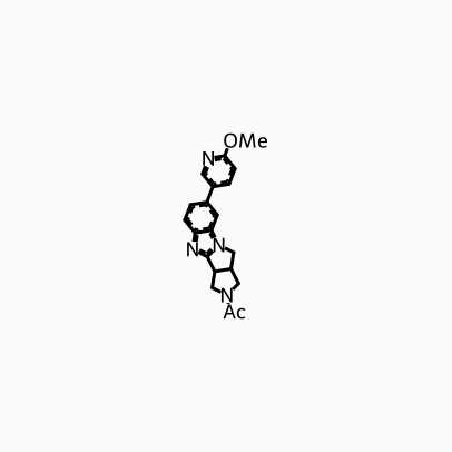 COc1ccc(-c2ccc3nc4n(c3c2)CC2CN(C(C)=O)CC42)cn1